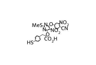 CSc1nc(Oc2ccc(C#N)c([N+](=O)[O-])c2)c([N+](=O)[O-])c(OC(Cc2ccc(S)cc2)C(=O)O)n1